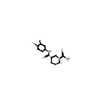 Cc1cc(NC(=O)[C@H]2CCCN(C(=O)O)C2)ccc1F